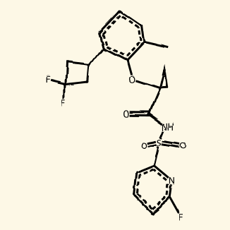 Cc1cccc(C2CC(F)(F)C2)c1OC1(C(=O)NS(=O)(=O)c2cccc(F)n2)CC1